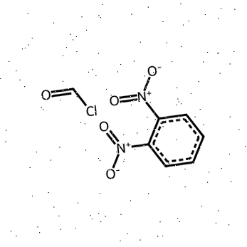 O=CCl.O=[N+]([O-])c1ccccc1[N+](=O)[O-]